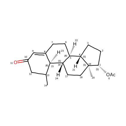 CC(=O)O[C@H]1CC[C@H]2[C@@H]3CCC4=CC(=O)CC(C)[C@@H]4[C@H]3CC[C@]12C